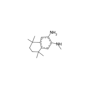 CNc1cc2c(cc1N)C(C)(C)CCC2(C)C